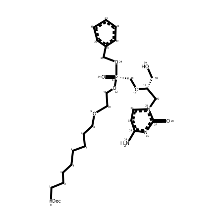 CCCCCCCCCCCCCCCCCCOCCO[P@](=O)(CO[C@H](CO)Cn1ccc(N)nc1=O)OCc1ccccc1